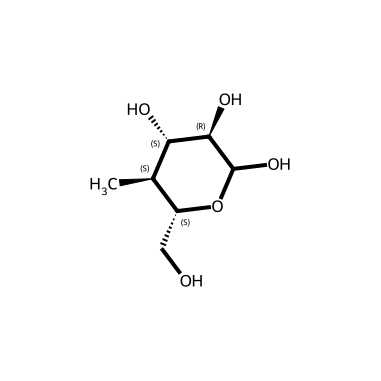 C[C@H]1[C@H](O)[C@@H](O)C(O)O[C@@H]1CO